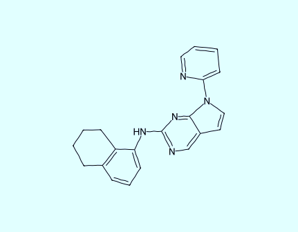 c1ccc(-n2ccc3cnc(Nc4cccc5c4CCCC5)nc32)nc1